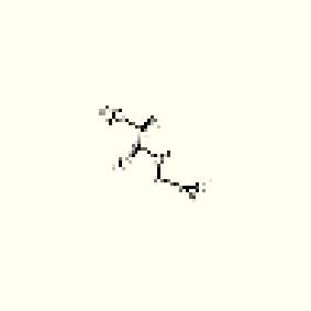 C=C(C(=O)OCC1CO1)C(F)(F)F